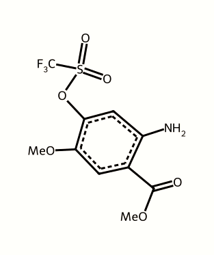 COC(=O)c1cc(OC)c(OS(=O)(=O)C(F)(F)F)cc1N